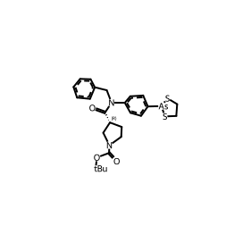 CC(C)(C)OC(=O)N1CC[C@@H](C(=O)N(Cc2ccccc2)c2ccc([As]3SCCS3)cc2)C1